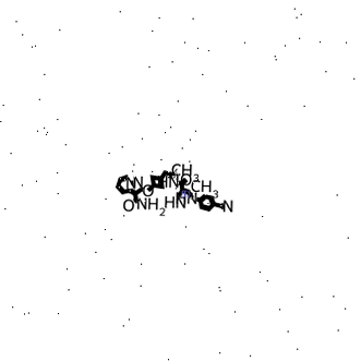 C/C(Nc1ccc(C#N)cc1)=C(/C=N)C(=O)N[C@@H](C)CC1CC(Oc2nn3ccccc3c2C(N)=O)C1